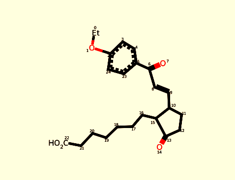 CCOc1ccc(C(=O)C=CC2CCC(=O)C2CCCCCCC(=O)O)cc1